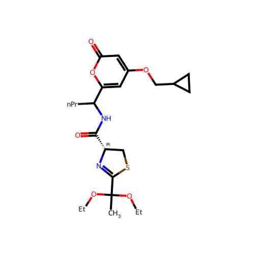 CCCC(NC(=O)[C@@H]1CSC(C(C)(OCC)OCC)=N1)c1cc(OCC2CC2)cc(=O)o1